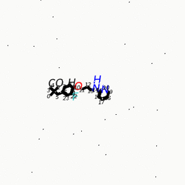 CC(C)(CC(=O)O)Cc1ccc(OCCCNc2ccccn2)c(F)c1